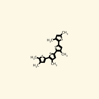 Cc1cc(C)c(-c2cc(C)c(-c3cc(C)c(-c4cc(C)c(C)s4)s3)s2)s1